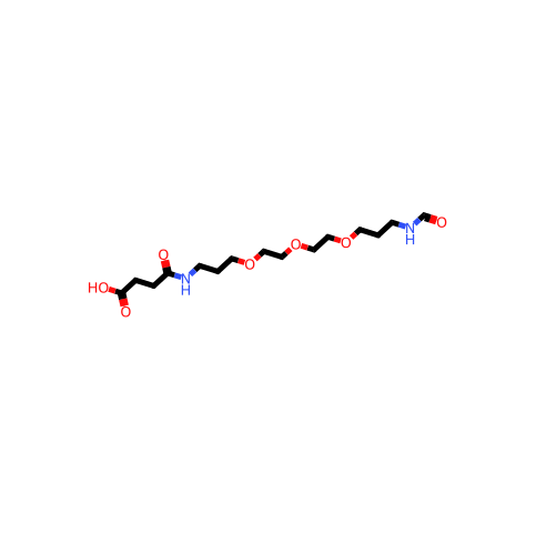 O=CNCCCOCCOCCOCCCNC(=O)CCC(=O)O